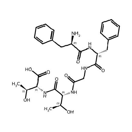 C[C@H](O)[C@@H](NC(=O)[C@H](NC(=O)CNC(=O)[C@@H](Cc1ccccc1)NC(=O)[C@H](N)Cc1ccccc1)[C@H](C)O)C(=O)O